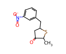 CC1SC(Cc2cccc([N+](=O)[O-])c2)CC1=O